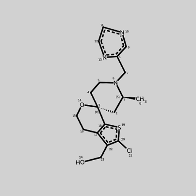 C[C@H]1C[C@@]2(CCN1Cc1cnccn1)OCCc1c2sc(Cl)c1CO